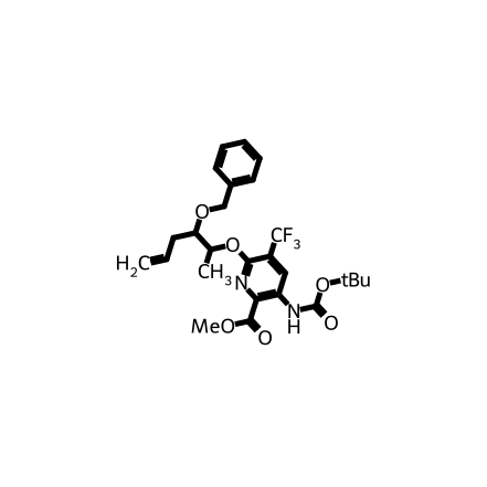 C=CCC(OCc1ccccc1)C(C)Oc1nc(C(=O)OC)c(NC(=O)OC(C)(C)C)cc1C(F)(F)F